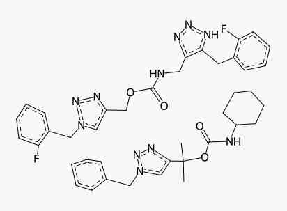 CC(C)(OC(=O)NC1CCCCC1)c1cn(Cc2ccccc2)nn1.O=C(NCc1nn[nH]c1Cc1ccccc1F)OCc1cn(Cc2ccccc2F)nn1